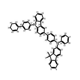 CC1(C)c2ccccc2-c2ccc(N(c3ccccc3)c3ccc(-c4ccc5c(c4)c4ccccc4n5-c4ccc(C5=CCCC=C5)cc4)cc3)cc21